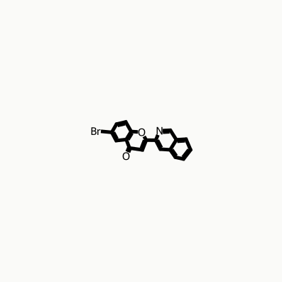 O=c1cc(-c2cc3ccccc3cn2)oc2ccc(Br)cc12